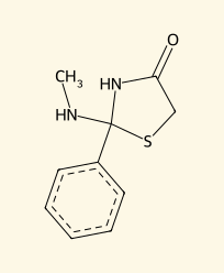 CNC1(c2ccccc2)NC(=O)CS1